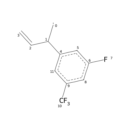 [CH2]C(C=C)c1cc(F)cc(C(F)(F)F)c1